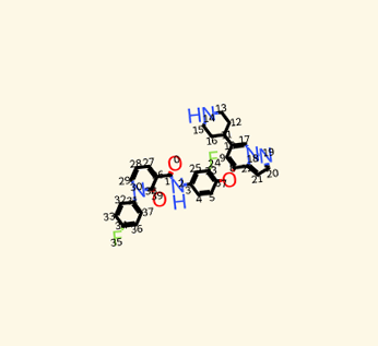 O=C(Nc1ccc(Oc2cc(C3CCNCC3)cn3nccc23)c(F)c1)c1cccn(-c2ccc(F)cc2)c1=O